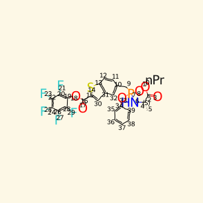 CCCOC(=O)[C@H](C)NP(=O)(Cc1ccc2sc(C(=O)Oc3c(F)c(F)c(F)c(F)c3F)cc2c1)Oc1ccccc1